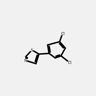 Clc1cc(Cl)cc(-c2cn[c]s2)c1